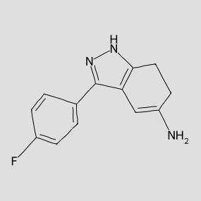 NC1=Cc2c(-c3ccc(F)cc3)n[nH]c2CC1